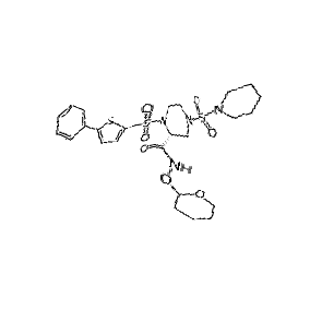 O=C(NOC1CCCCO1)[C@H]1CN(S(=O)(=O)N2CCCCC2)CCN1S(=O)(=O)c1ccc(-c2ccccc2)s1